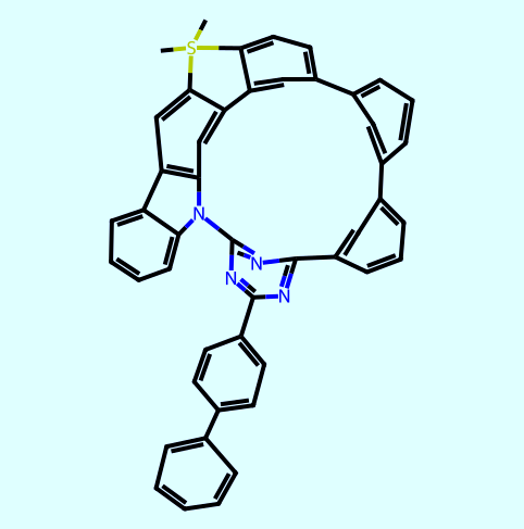 CS1(C)c2ccc3cc2-c2cc4c(cc21)c1ccccc1n4-c1nc(-c2ccc(-c4ccccc4)cc2)nc(n1)-c1cccc(c1)-c1cccc-3c1